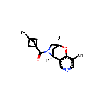 CC(C)C12CC(C(=O)N3C[C@@H]4C[C@H]3c3cncc(C#N)c3O4)(C1)C2